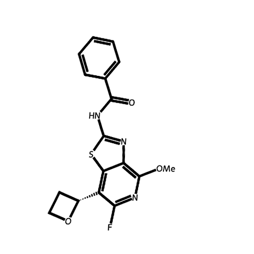 COc1nc(F)c([C@H]2CCO2)c2sc(NC(=O)c3ccccc3)nc12